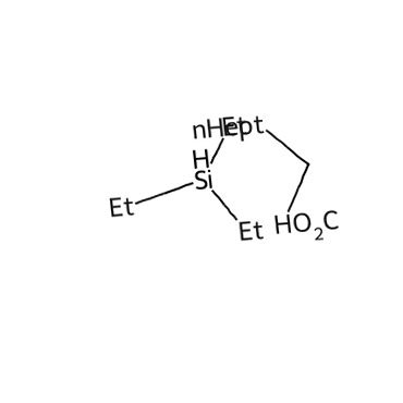 CCCCCCCCC(=O)O.CC[SiH](CC)CC